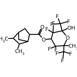 CC1C2CC(C(=O)OC3C(F)(F)C(C)(C(F)(F)F)OC(O)(C(F)(F)F)C3(F)F)C(C2)C1C